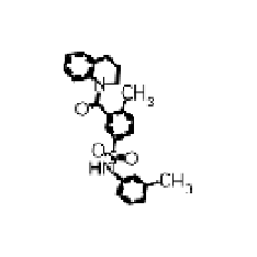 Cc1cccc(NS(=O)(=O)c2ccc(C)c(C(=O)N3CCCc4ccccc43)c2)c1